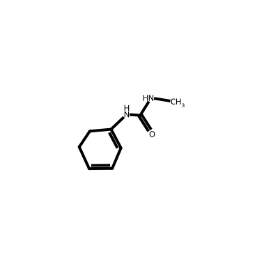 CNC(=O)NC1=CC=CCC1